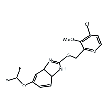 COc1c(Cl)ccnc1CSC1=NC2C=C(OC(F)F)C=CC2N1